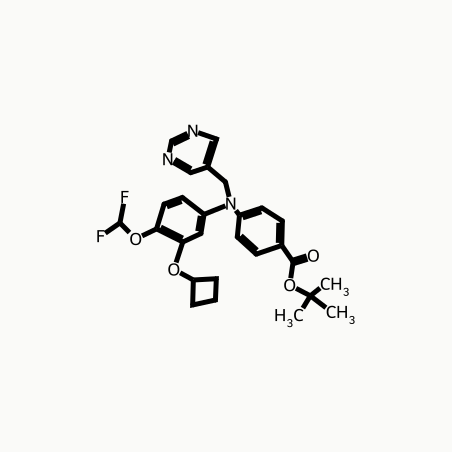 CC(C)(C)OC(=O)c1ccc(N(Cc2cncnc2)c2ccc(OC(F)F)c(OC3CCC3)c2)cc1